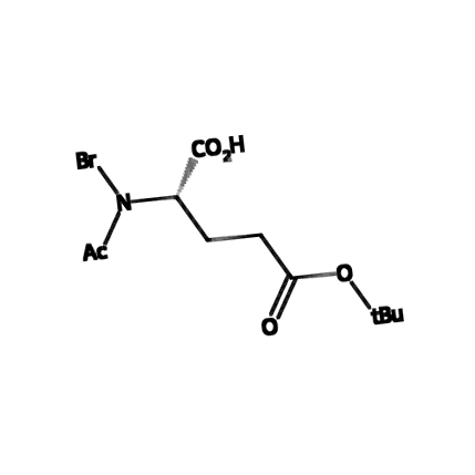 CC(=O)N(Br)[C@@H](CCC(=O)OC(C)(C)C)C(=O)O